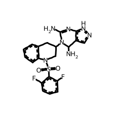 NC1=Nc2[nH]ncc2C(N)N1C1Cc2ccccc2N(S(=O)(=O)c2c(F)cccc2F)C1